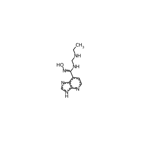 CCNCNC(=NO)c1ccnc2[nH]cnc12